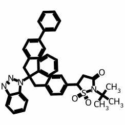 CC(C)(C)N1C(=O)CC(c2ccc(CC(Cc3ccc(-c4ccccc4)cc3)(c3ccccc3)n3nnc4ccccc43)cc2)S1(=O)=O